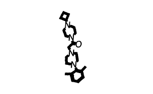 Cc1cccc(C)c1N1CCN(CC(=O)N2CCN(C3CCC3)CC2)CC1